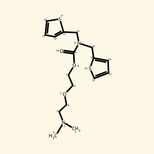 CN(C)CCOCCOC(=O)N(Cc1cccs1)Cc1cccs1